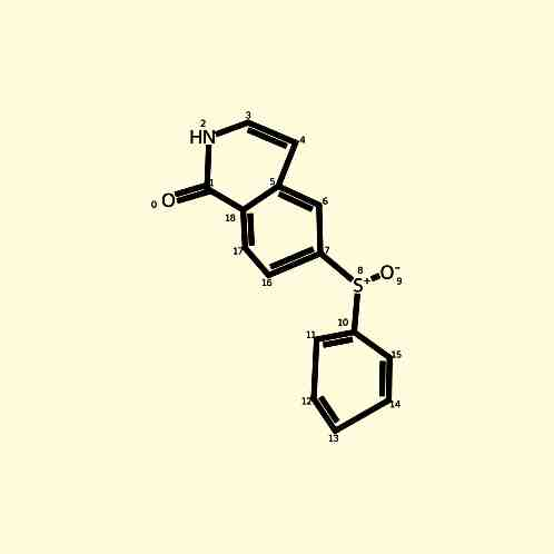 O=c1[nH]ccc2cc([S+]([O-])c3ccccc3)ccc12